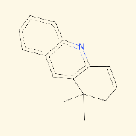 CC1(C)CC=Cc2nc3ccccc3cc21